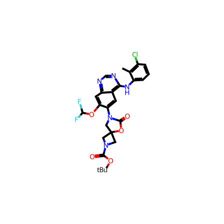 Cc1c(Cl)cccc1Nc1ncnc2cc(OC(F)F)c(N3CC4(CN(C(=O)OC(C)(C)C)C4)OC3=O)cc12